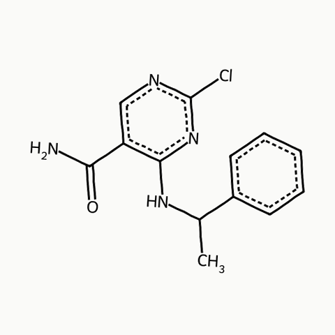 CC(Nc1nc(Cl)ncc1C(N)=O)c1ccccc1